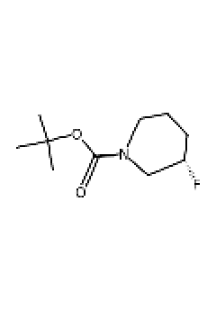 CC(C)(C)OC(=O)N1CCC[C@H](F)C1